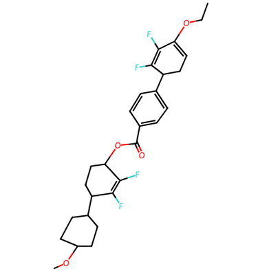 CCOC1=CCC(c2ccc(C(=O)OC3CCC(C4CCC(OC)CC4)C(F)=C3F)cc2)C(F)=C1F